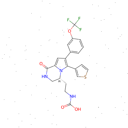 O=C(O)NCC[C@@H]1CNC(=O)c2cc(-c3cccc(OC(F)(F)F)c3)c(-c3ccsc3)n21